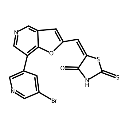 O=C1NC(=S)SC1=Cc1cc2cncc(-c3cncc(Br)c3)c2o1